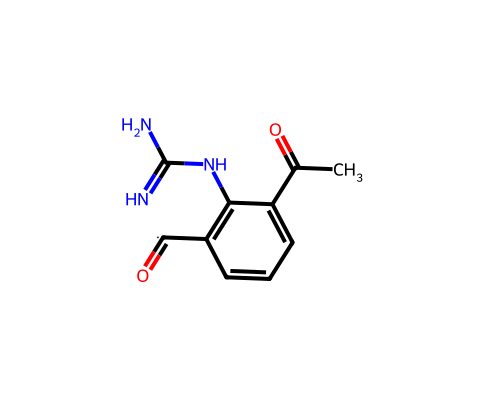 CC(=O)c1cccc([C]=O)c1NC(=N)N